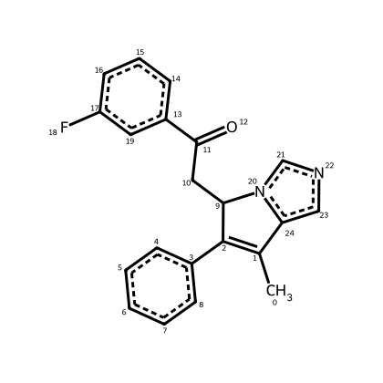 CC1=C(c2ccccc2)C(CC(=O)c2cccc(F)c2)n2cncc21